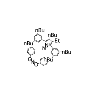 CCCCC1=C(c2cc(CCCC)cc(CCCC)c2)[N+](=[N-])C(c2cc(CCCC)cc(CCCC)c2)=C1CC.c1ccc([O][Ni][O]c2ccccc2)cc1